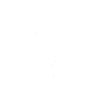 c1ccc([Si]2(c3ccccc3)c3ccccc3N(c3cccc4c3Oc3cccc5c3B4c3cccc(N4c6ccccc6[Si](c6ccccc6)(c6ccccc6)c6ccccc64)c3S5)c3ccccc32)cc1